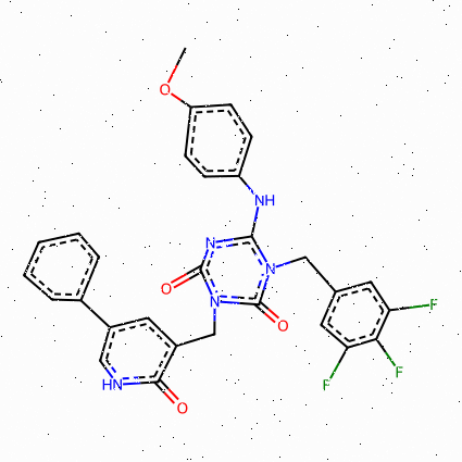 COc1ccc(Nc2nc(=O)n(Cc3cc(-c4ccccc4)c[nH]c3=O)c(=O)n2Cc2cc(F)c(F)c(F)c2)cc1